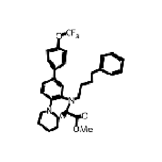 COC(=O)C(=O)N(CCCCc1ccccc1)c1cc(-c2ccc(OC(F)(F)F)cc2)ccc1N1CCCCC1